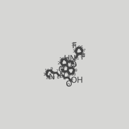 O=C(O)CCN(CCc1ccccn1)C(=O)c1ccccc1-c1ccccc1C(=O)NCc1cc(F)ccc1F